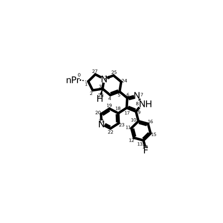 CCC[C@H]1C[C@H]2C=C(c3n[nH]c(-c4ccc(F)cc4)c3-c3ccncc3)CCN2C1